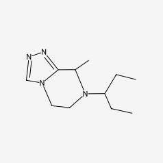 CCC(CC)N1CCn2cnnc2C1C